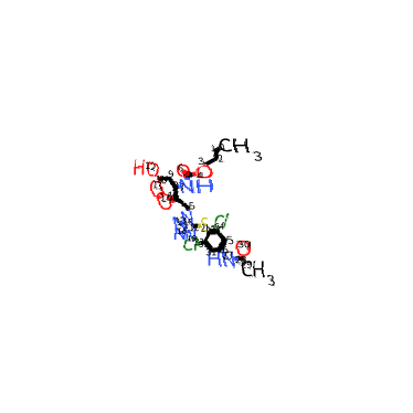 CCCCOC(=O)NC(CC(=O)O)C(=O)Cn1nnnc1Sc1c(Cl)cc(NC(C)=O)cc1Cl